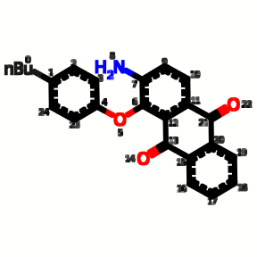 CCCCc1ccc(Oc2c(N)ccc3c2C(=O)c2ccccc2C3=O)cc1